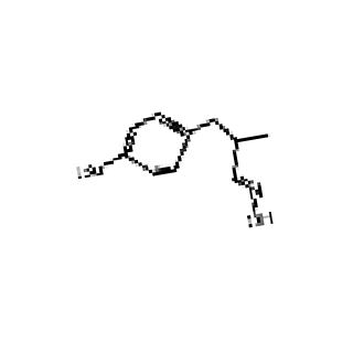 CC(/C=N/O)Cc1ccc(C(C)(C)C)cc1